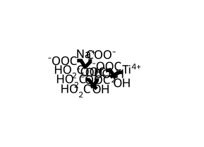 O=C(O)CC(O)(CC(=O)O)C(=O)O.O=C([O-])CC(O)(CC(=O)[O-])C(=O)O.O=C([O-])CC(O)(CC(=O)[O-])C(=O)[O-].[Na+].[Ti+4]